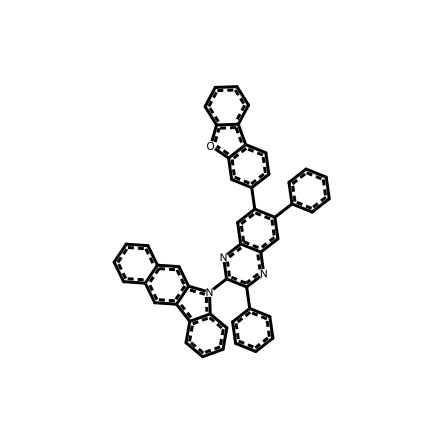 c1ccc(-c2cc3nc(-c4ccccc4)c(-n4c5ccccc5c5cc6ccccc6cc54)nc3cc2-c2ccc3c(c2)oc2ccccc23)cc1